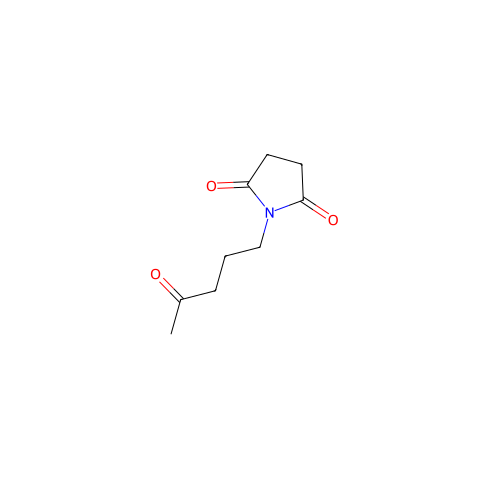 CC(=O)CCCN1C(=O)CCC1=O